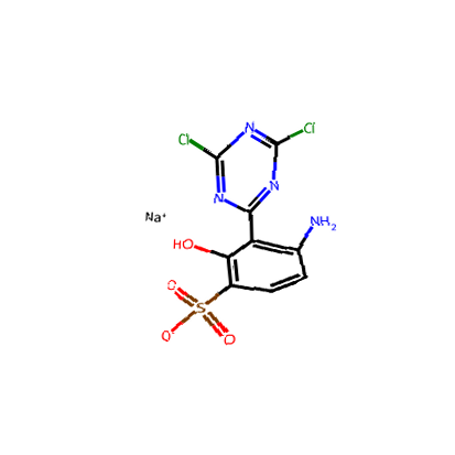 Nc1ccc(S(=O)(=O)[O-])c(O)c1-c1nc(Cl)nc(Cl)n1.[Na+]